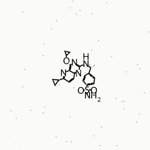 C[C@@H](Nc1nc(OC2CC2)c2nc(C3CC3)ccc2n1)c1ccc(S(N)(=O)=O)cc1